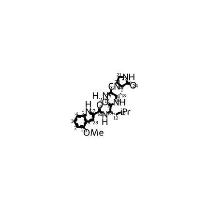 COc1cccc2[nH]c(C(=O)N[C@@H](CC(C)C)C(=O)N[C@@H](C[C@@H]3CCNC3=O)C(N)C#N)cc12